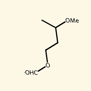 COC(C)CCO[C]=O